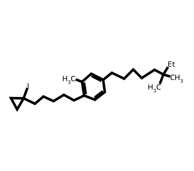 CCC(C)(C)CCCCCc1ccc(CCCCCC2(I)CC2)c(C)c1